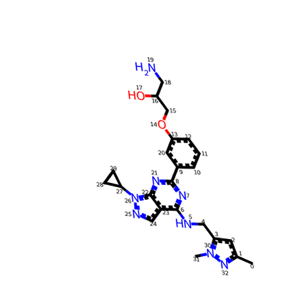 Cc1cc(CNc2nc(-c3cccc(OCC(O)CN)c3)nc3c2cnn3C2CC2)n(C)n1